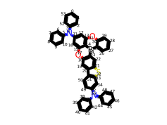 c1ccc(N(c2ccccc2)c2cc3c4c(c2)Oc2cc5c(cc2B4c2ccccc2O3)sc2cc(N(c3ccccc3)c3ccccc3)ccc25)cc1